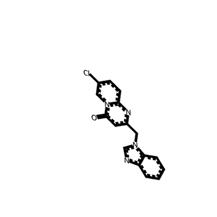 O=c1cc(Cn2cnc3ccccc32)nc2ccc(Cl)cn12